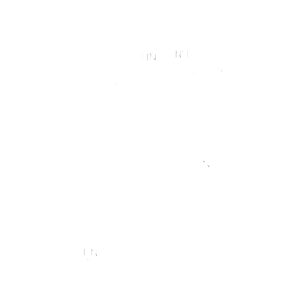 CC(CCCCN)Nc1ccc2c(=O)[nH][nH]c(=O)c2c1